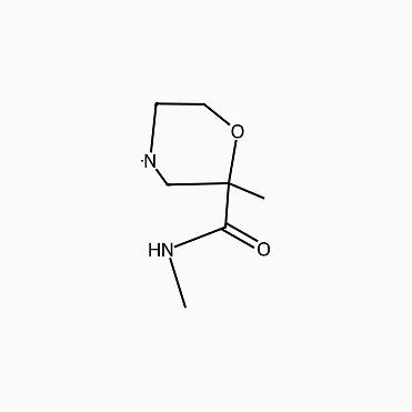 CNC(=O)C1(C)C[N]CCO1